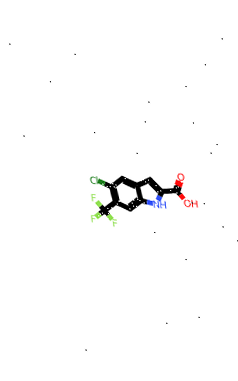 O=C(O)c1cc2cc(Cl)c(C(F)(F)F)cc2[nH]1